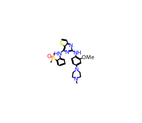 COc1cc(N2CCN(C)CC2)ccc1Nc1nc(Nc2ccccc2P(C)(C)=O)c2sccc2n1